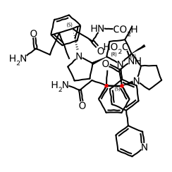 CC1C[C@H](C2CCCN2[C@@]2(C(=O)NC(=O)O)c3ccc(cc3)C2(C)CC(N)=O)N(c2ccc(-c3cccnc3)cc2)[C@@]1(C)C1CCCN1[C@@]1(C(=O)NC(=O)O)c2ccc(cc2)C1(C)CC(N)=O